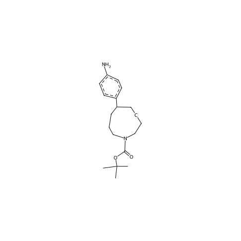 CC(C)(C)OC(=O)N1CCCCC(c2ccc(N)cc2)CCC1